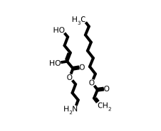 C=CC(=O)OCCCCCCCC.NCCCOC(=O)C(O)=CCCO